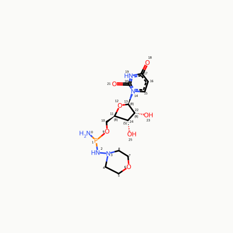 NP(NN1CCOCC1)OC[C@H]1O[C@@H](n2ccc(=O)[nH]c2=O)[C@H](O)[C@@H]1O